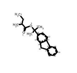 CCC(C)C(=O)OC(C)(C)c1ccc2c(c1)Cc1ccccc1-2